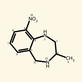 CC1CNc2c(cccc2[N+](=O)[O-])CN1